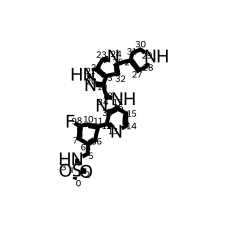 CS(=O)(=O)NCc1cc(F)cc(-c2nccc3[nH]c(-c4n[nH]c5cnc(C6=CCNCC6)cc45)nc23)c1